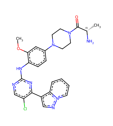 COc1cc(N2CCN(C(=O)[C@H](C)N)CC2)ccc1Nc1ncc(Cl)c(-c2cnn3ccccc23)n1